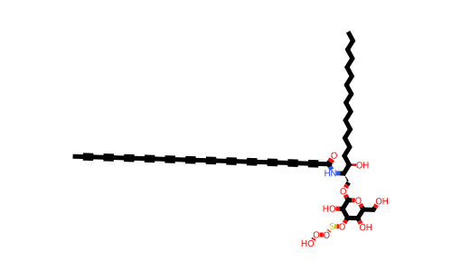 CC#CC#CC#CC#CC#CC#CC#CC#CC#CC#CC#CC#CC(=O)N[C@@H](COC1OC(CO)C(O)C(OSOOO)C1O)[C@H](O)CCCCCCCCCCCCCCC